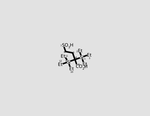 CC[Si](CC)(CC)C(CCS(=O)(=O)O)(C(=O)O)[Si](CC)(CC)CC